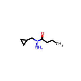 CCCC(=O)N(N)CC1CC1